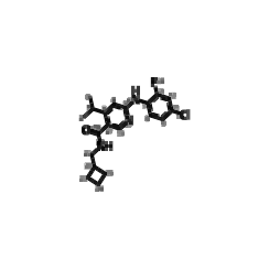 CC(C)c1cc(Nc2ccc(Cl)cc2F)ncc1C(=O)NCC1CCC1